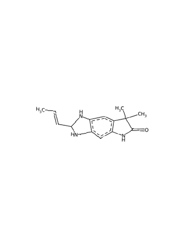 CC=CC1Nc2cc3c(cc2N1)C(C)(C)C(=O)N3